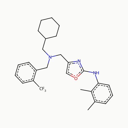 Cc1cccc(Nc2nc(CN(Cc3ccccc3C(F)(F)F)CC3CCCCC3)co2)c1C